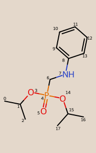 CC(C)OP(=O)(CNc1ccccc1)OC(C)C